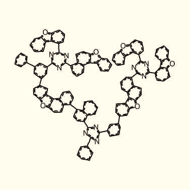 c1ccc(-c2cc(-c3ccc4oc5ccc6c(-c7ccc(-c8nc(-c9ccccc9)nc(-c9cccc(-c%10ccc%11c(c%10)oc%10ccc%12c(-c%13nc(-c%14cccc%15oc%16ccccc%16c%14%15)nc(-c%14cccc%15oc%16ccccc%16c%14%15)n%13)cccc%12c%10%11)c9)n8)c8ccccc78)cccc6c5c4c3)cc(-c3nc(-c4cccc5c4ccc4oc6ccccc6c45)nc(-c4cccc5oc6ccccc6c45)n3)c2)cc1